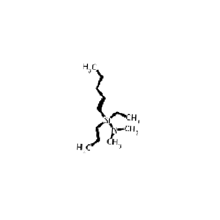 CCCC=C[Si](CC)(CCC)N(C)C